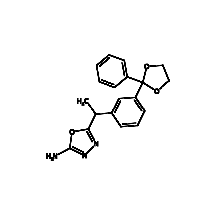 CC(c1cccc(C2(c3ccccc3)OCCO2)c1)c1nnc(N)o1